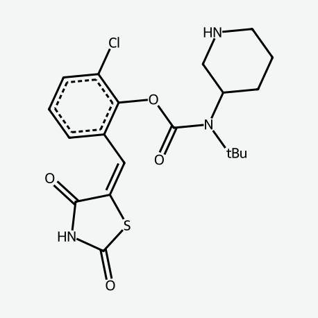 CC(C)(C)N(C(=O)Oc1c(Cl)cccc1C=C1SC(=O)NC1=O)C1CCCNC1